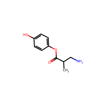 CC(CN)C(=O)Oc1ccc(O)cc1